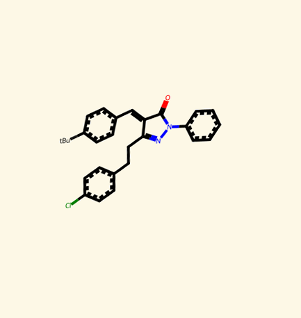 CC(C)(C)c1ccc(C=C2C(=O)N(c3ccccc3)N=C2CCc2ccc(Cl)cc2)cc1